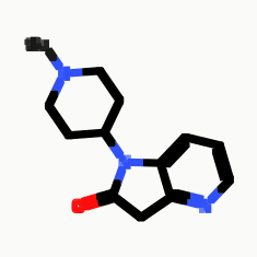 CC(C)(C)N1CCC(N2C(=O)Cc3ncccc32)CC1